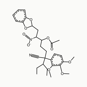 CCC(CC)C(C#N)(CCC(OC(C)=O)C(CC1Oc2ccccc2O1)[N+](=O)[O-])c1ccc(OC)c(OC)c1OC